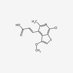 COc1csc2c(Cl)nc(C)c(C=CC(=O)O)c12